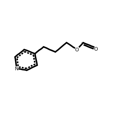 O=[C]OCCCc1ccncc1